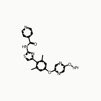 CCCOc1cnc(Oc2cc(C)c(-c3csc(NC(=O)c4ccncc4)n3)c(C)c2)cn1